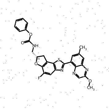 COc1cnc2c(-c3nc4cc(F)c5c(c4s3)C[C@@H](CNC(=O)Oc3ccccc3)O5)cc(C)cc2n1